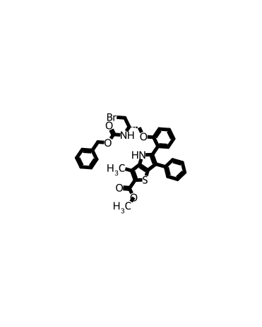 COC(=O)c1sc2c(-c3ccccc3)c(-c3ccccc3OC[C@@H](CBr)NC(=O)OCc3ccccc3)[nH]c2c1C